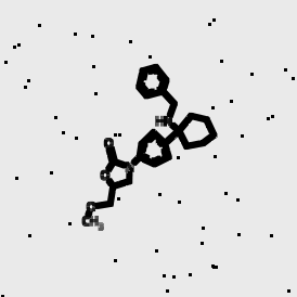 COCC1CN(c2ccc(C3(NCc4ccccc4)CCCCC3)cc2)C(=O)O1